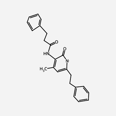 CC1=C(NC(=O)CCc2ccccc2)C(=O)[N]C(CCc2ccccc2)=C1